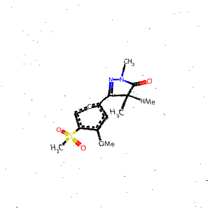 CNC1(C)C(=O)N(C)N=C1c1ccc(S(C)(=O)=O)c(OC)c1